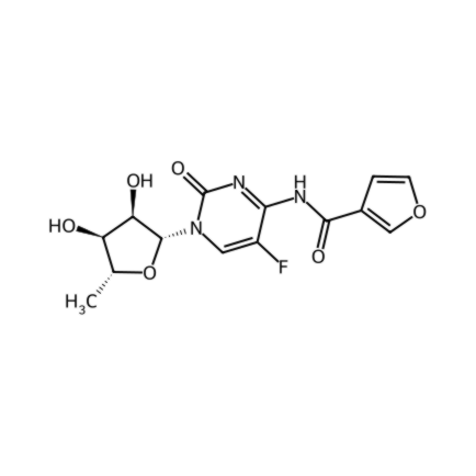 C[C@H]1O[C@@H](n2cc(F)c(NC(=O)c3ccoc3)nc2=O)[C@H](O)[C@@H]1O